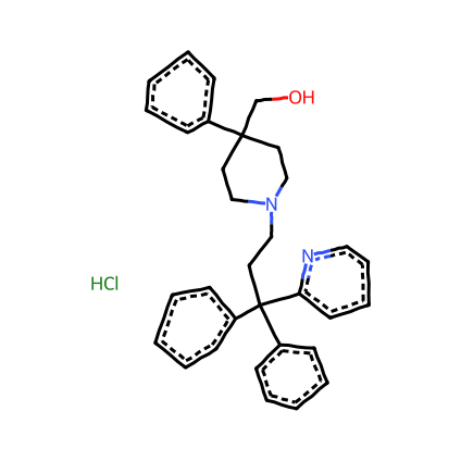 Cl.OCC1(c2ccccc2)CCN(CCC(c2ccccc2)(c2ccccc2)c2ccccn2)CC1